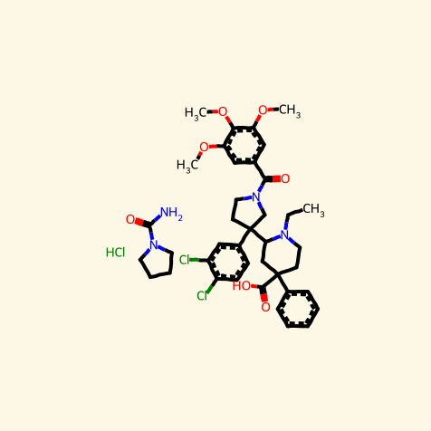 CCN1CCC(C(=O)O)(c2ccccc2)CC1C1(c2ccc(Cl)c(Cl)c2)CCN(C(=O)c2cc(OC)c(OC)c(OC)c2)C1.Cl.NC(=O)N1CCCC1